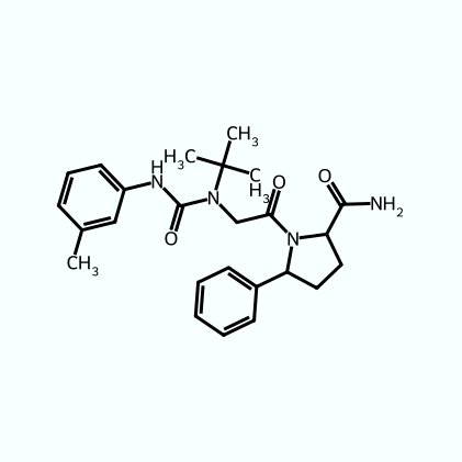 Cc1cccc(NC(=O)N(CC(=O)N2C(C(N)=O)CCC2c2ccccc2)C(C)(C)C)c1